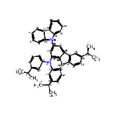 CC(C)c1cccc(N2c3cc(C(C)C)ccc3B3c4ccc(C(C)C)cc4-c4cc(-n5c6ccccc6c6ccccc65)cc2c43)c1